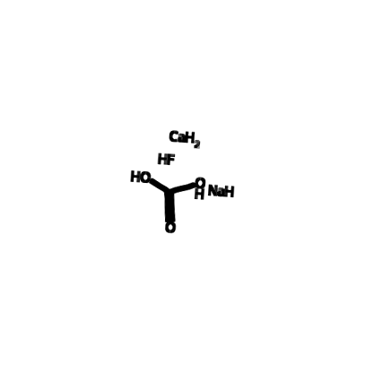 F.O=C(O)O.[CaH2].[NaH]